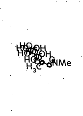 CNC(=O)c1cccc(-c2ccc(O[C@H]3O[C@H](CO)[C@@H](O)[C@@H](C[C@H]4O[C@H](CO)[C@@H](O)[C@H](O)[C@H]4O)[C@@H]3O)c(C)c2)c1